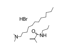 Br.C=C(C)C(=O)NCCC.CCCCCCCCCCCCN(C)C